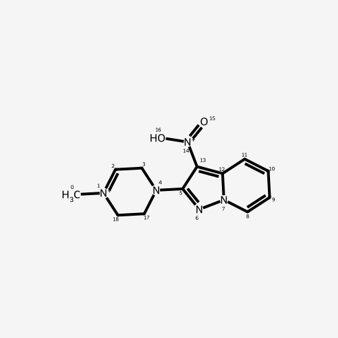 C[N+]1=CCN(c2nn3ccccc3c2[N+](=O)O)CC1